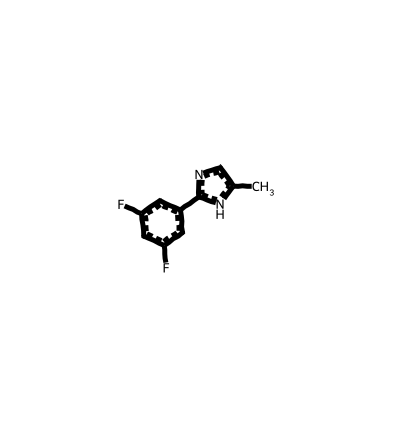 Cc1[c]nc(-c2cc(F)cc(F)c2)[nH]1